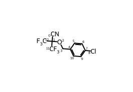 N#CC(OCc1ccc(Cl)cc1)(C(F)(F)F)C(F)(F)F